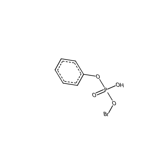 O=P(O)(OBr)Oc1ccccc1